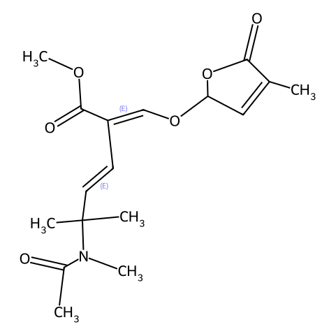 COC(=O)C(/C=C/C(C)(C)N(C)C(C)=O)=C/OC1C=C(C)C(=O)O1